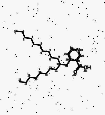 CCCCCCCCCCC(CCCCCCCC)Cc1ccncc1C(=O)O